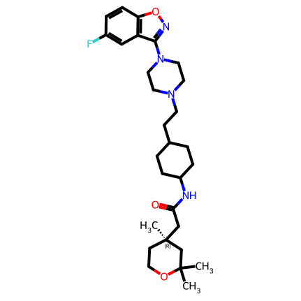 CC1(C)C[C@](C)(CC(=O)NC2CCC(CCN3CCN(c4noc5ccc(F)cc45)CC3)CC2)CCO1